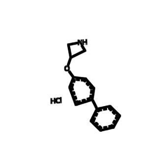 Cl.c1ccc(-c2ccc(OC3CNC3)cc2)cc1